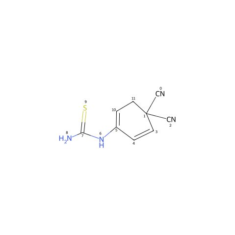 N#CC1(C#N)C=CC(NC(N)=S)=CC1